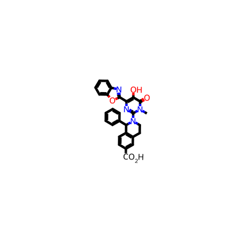 Cn1c(N2CCc3cc(C(=O)O)ccc3C2c2ccccc2)nc(-c2nc3ccccc3o2)c(O)c1=O